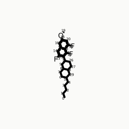 CCCCCC1CCC2CC(c3c(F)cc4cc(OC)cc(F)c4c3F)CCC2C1